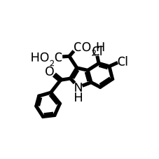 O=C(c1ccccc1)c1[nH]c2ccc(Cl)c(Cl)c2c1C(C(=O)O)C(=O)O